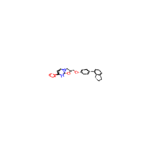 O=c1ccn2c(n1)O[C@H](COc1ccc(-c3cccc4c3CCC4)cc1)C2